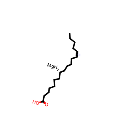 CCCC/C=C\CCCCCCCCCCCC(=O)O.[MgH2]